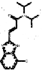 CC(C)N(C(=O)C=Cc1nc2cccc(Cl)c2[nH]1)C(C)C